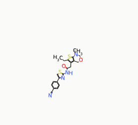 CCc1sc2c(c1CC(=O)Nc1nc(-c3ccc(C#N)cc3)cs1)COCN2C